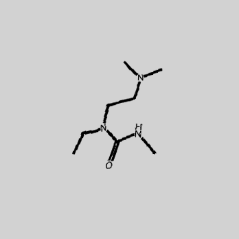 CCN(CCN(C)C)C(=O)NC